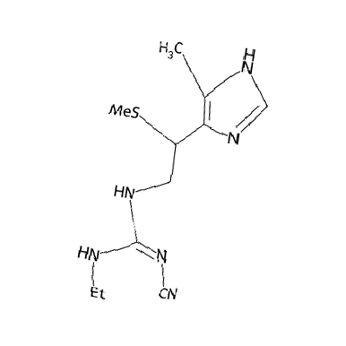 CCNC(=NC#N)NCC(SC)c1nc[nH]c1C